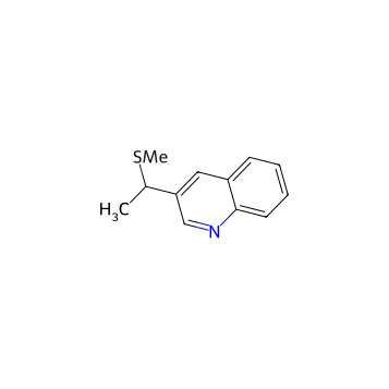 CSC(C)c1cnc2ccccc2c1